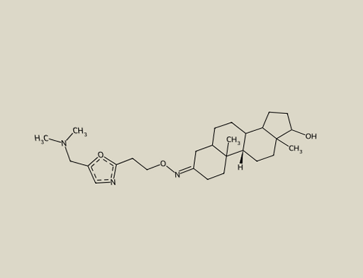 CN(C)Cc1cnc(CCON=C2CCC3(C)C(CCC4C5CCC(O)C5(C)CC[C@@H]43)C2)o1